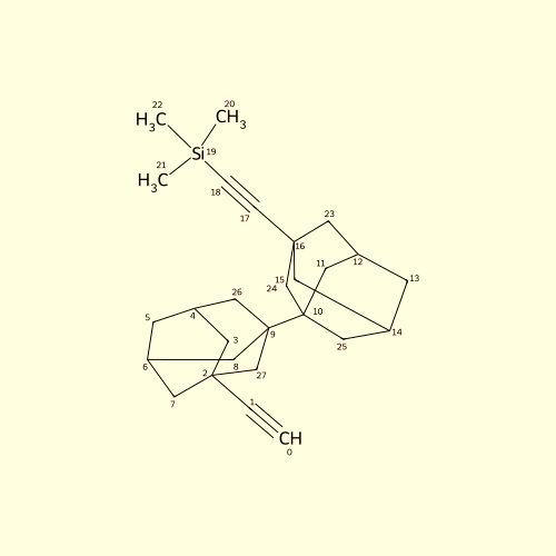 C#CC12CC3CC(C1)CC(C14CC5CC(CC(C#C[Si](C)(C)C)(C5)C1)C4)(C3)C2